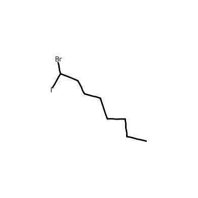 CCCCCCCC(Br)I